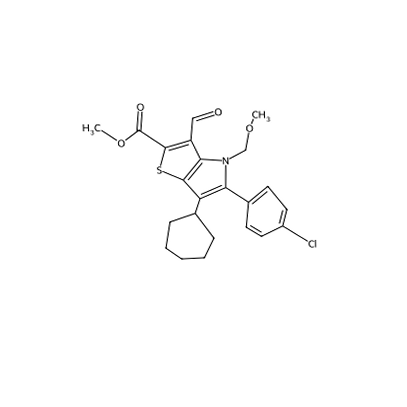 COCn1c(-c2ccc(Cl)cc2)c(C2CCCCC2)c2sc(C(=O)OC)c(C=O)c21